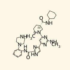 CNc1nc(-c2c[nH]c(C(=O)Nc3ccccc3N3CCNCC3)n2)cc(N2C[C@@H](C(=O)NC3CCCCC3)CC[C@@H]2C)n1